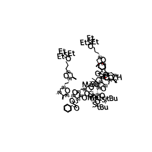 C=C1C[C@H](CCCO[Si](CC)(CC)CC)O[C@H]1CC[C@H]1C[C@@H](C)C(=C)[C@@H](C[C@@H]2O[C@H](C[C@@H](CO[Si](C)(C)C(C)(C)C[C@](C(=O)O)([C@@H]3[C@@H](OC)[C@@H](C[C@@H](CO[Si](C)(C)C(C)(C)C)O[Si](C)(C)C(C)(C)C)O[C@H]3C[C@H]3O[C@@H](CC[C@@H]4O[C@@H](CCCO[Si](CC)(CC)CC)CC4=C)C[C@@H](C)C3=C)S(=O)(=O)c3ccccc3)O[Si](C)(C)C(C)(C)C)[C@H](OC)[C@H]2CS(=O)(=O)c2ccccc2)O1